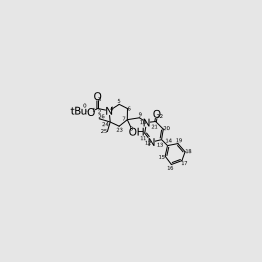 CC(C)(C)OC(=O)N1CCC(O)(Cn2cnc(-c3ccccc3)cc2=O)CC1(C)C